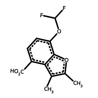 Cc1oc2c(OC(F)F)ccc(C(=O)O)c2c1C